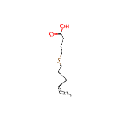 C=CCCCSCCCC(=O)O